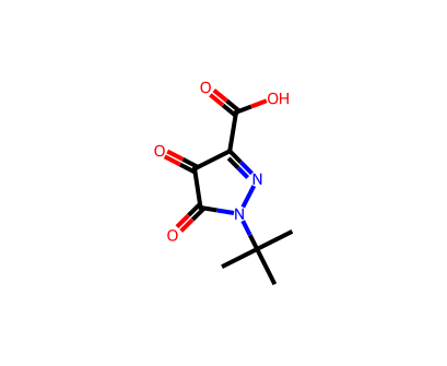 CC(C)(C)N1N=C(C(=O)O)C(=O)C1=O